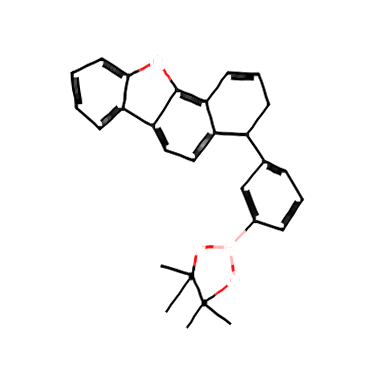 CC1(C)OB(c2cccc(C3CC=Cc4c3ccc3c4oc4ccccc43)c2)OC1(C)C